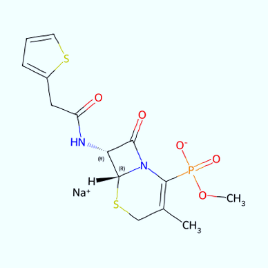 COP(=O)([O-])C1=C(C)CS[C@@H]2[C@H](NC(=O)Cc3cccs3)C(=O)N12.[Na+]